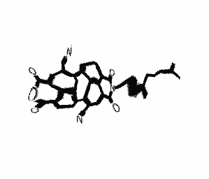 CC(C)=CCCC(C)CCN1C(=O)c2ccc3c4c(C#N)cc5c6c(ccc(c7c(C#N)cc(c2c37)C1=O)c64)C(=O)OC5=O